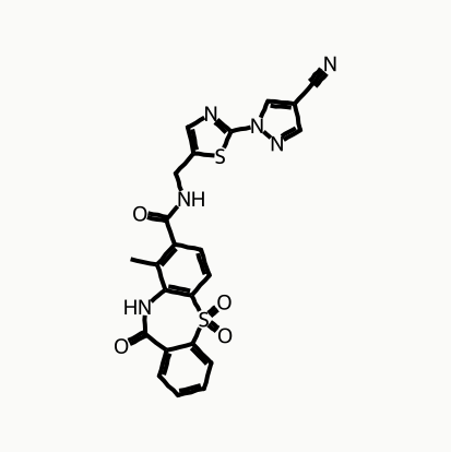 Cc1c(C(=O)NCc2cnc(-n3cc(C#N)cn3)s2)ccc2c1NC(=O)c1ccccc1S2(=O)=O